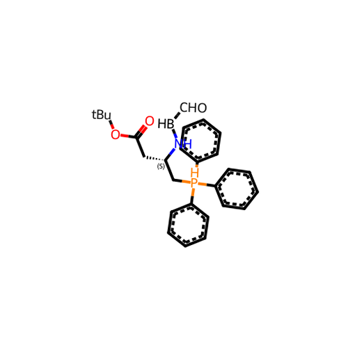 CC(C)(C)OC(=O)C[C@@H](C[PH](c1ccccc1)(c1ccccc1)c1ccccc1)NBC=O